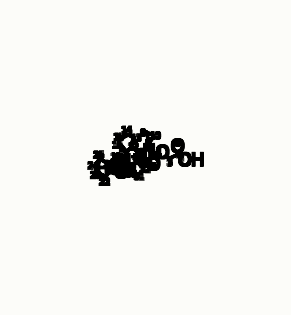 O=C(O)COC(=O)N(C1CC1)[C@H]1c2ccccc2[N@@+](Cc2ccccc2)(C(=O)O)[C@@H]2CCC[C@@H]21